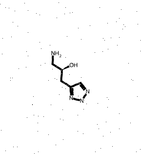 NC[C@@H](O)CC1=N[N]N=C1